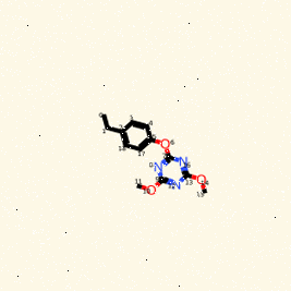 CCc1ccc(Oc2nc(OC)nc(OC)n2)cc1